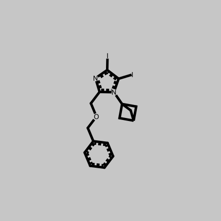 Ic1nc(COCc2ccccc2)n(C23CC(C2)C3)c1I